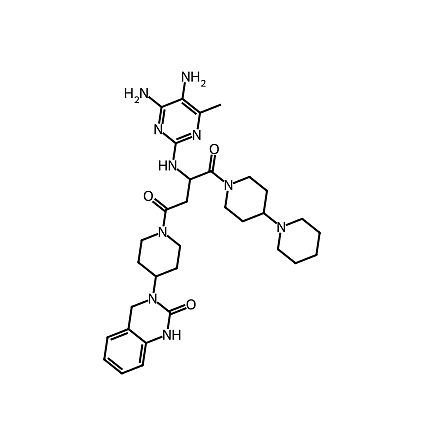 Cc1nc(NC(CC(=O)N2CCC(N3Cc4ccccc4NC3=O)CC2)C(=O)N2CCC(N3CCCCC3)CC2)nc(N)c1N